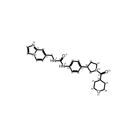 O=C(NCc1ccn2ccnc2c1)Nc1ccc(C2CCN(C(=O)C3CCOCC3)C2)cc1